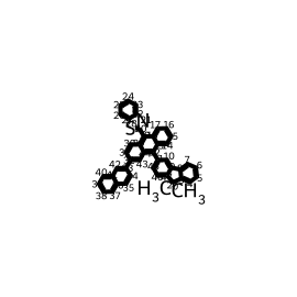 CC1(C)c2ccccc2-c2cc(-c3c4ccccc4c(-c4nc5ccccc5s4)c4ccc(-c5ccc6ccccc6c5)cc34)ccc21